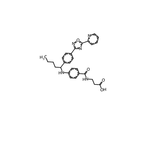 CCCCC(Nc1ccc(C(=O)NCCC(=O)O)cc1)c1ccc(-c2noc(-c3ccccn3)n2)cc1